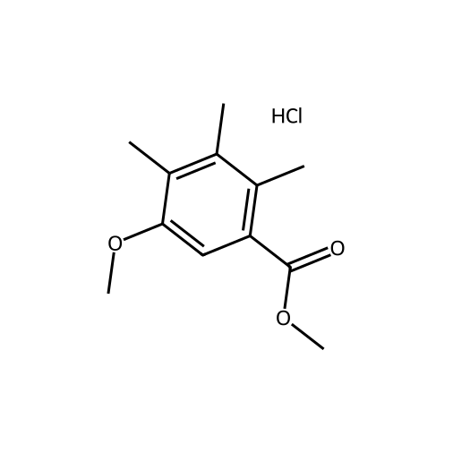 COC(=O)c1cc(OC)c(C)c(C)c1C.Cl